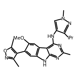 COc1cc2c(cc1-c1c(C)noc1C)[nH]c1nc(C)nc(Nc3cn(C)nc3C(C)C)c12